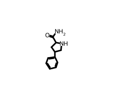 NC(=O)C1CC(c2ccccc2)CN1